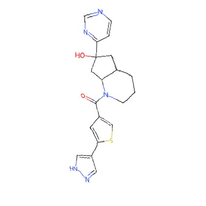 O=C(c1csc(-c2cn[nH]c2)c1)N1CCCC2CC(O)(c3ccncn3)CC21